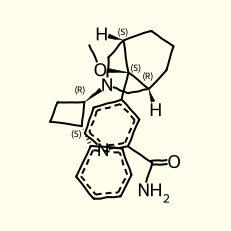 CO[C@]1(c2ccnc(C(N)=O)c2)[C@@H]2CCC[C@H]1CN([C@@H]1CC[C@H]1c1ccccc1)C2